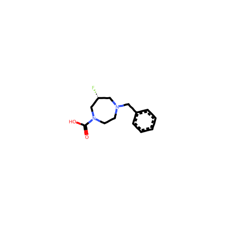 O=C(O)N1CCN(Cc2ccccc2)C[C@@H](F)C1